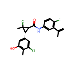 C=C(C)c1cc(NC(=O)C2[C@H](c3cc(O)c(C)c(Cl)c3)C2(C)Cl)ccc1Cl